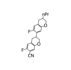 CCCC1COc2cc(C3COc4cc(C#N)c(F)cc4C3)c(F)cc2C1